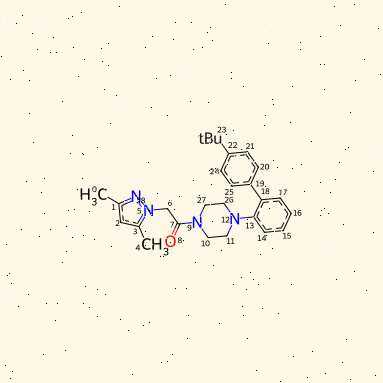 Cc1cc(C)n(CC(=O)N2CCN(c3ccccc3-c3ccc(C(C)(C)C)cc3)CC2)n1